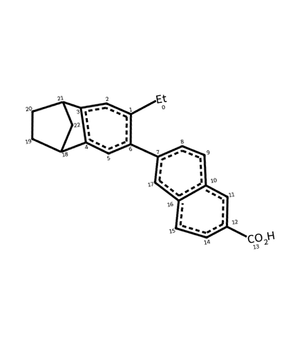 CCc1cc2c(cc1-c1ccc3cc(C(=O)O)ccc3c1)C1CCC2C1